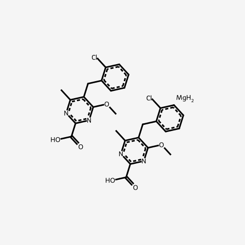 COc1nc(C(=O)O)nc(C)c1Cc1ccccc1Cl.COc1nc(C(=O)O)nc(C)c1Cc1ccccc1Cl.[MgH2]